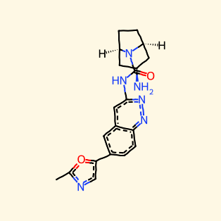 Cc1ncc(-c2ccc3nnc(NC(=O)N4[C@@H]5CC[C@H]4C[C@@H](N)C5)cc3c2)o1